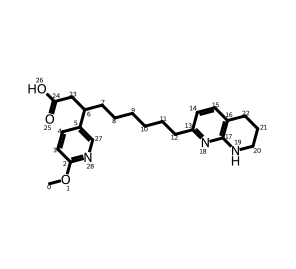 COc1ccc(C(CCCCCCc2ccc3c(n2)NCCC3)CC(=O)O)cn1